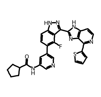 O=C(Nc1cncc(-c2ccc3[nH]nc(-c4nc5c(-c6cccs6)nccc5[nH]4)c3c2F)c1)C1CCCC1